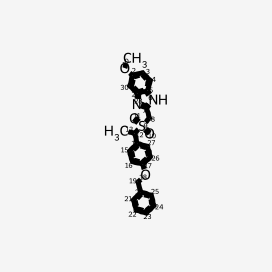 COc1ccc2[nH]c(CS(=O)(=O)C(C)c3ccc(OCc4ccccc4)cc3)nc2c1